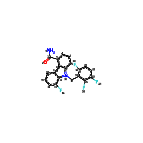 NC(=O)c1cccc2c1c1[c]ccc(F)c1n2Cc1c(F)ccc(F)c1F